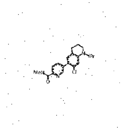 CNC(=O)c1ccc(-c2cc3c(cc2Cl)N(C(C)C)CCC3)cn1